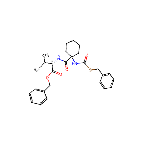 CC(C)[C@H](NC(=O)C1(NC(=O)SCc2ccccc2)CCCCC1)C(=O)OCc1ccccc1